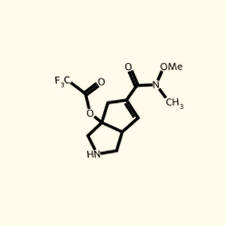 CON(C)C(=O)C1=CC2CNCC2(OC(=O)C(F)(F)F)C1